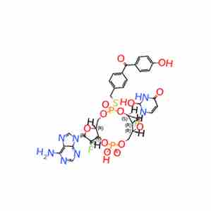 Nc1ncnc2c1ncn2[C@@H]1O[C@@H]2COP(=O)(SCc3ccc(C(=O)c4ccc(O)cc4)cc3)O[C@@H]3[C@H](F)[C@@H](COP(=O)(O)O[C@H]2[C@H]1F)O[C@H]3N1C=CC(=O)NC1O